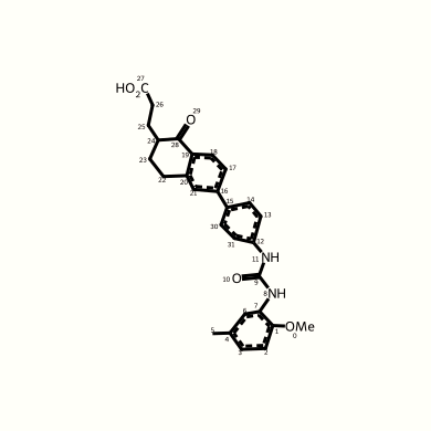 COc1ccc(C)cc1NC(=O)Nc1ccc(-c2ccc3c(c2)CCC(CCC(=O)O)C3=O)cc1